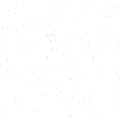 C=COOP(=O)(O)OP(=O)(O)O.[NaH].[NaH].[NaH].[NaH]